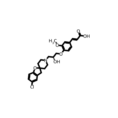 COc1cc(/C=C/C(=O)O)ccc1OC[C@@H](O)CN1CCC2(CC1)Cc1cc(Cl)ccc1O2